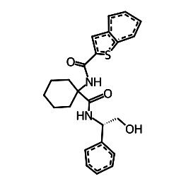 O=C(NC1(C(=O)N[C@H](CO)c2ccccc2)CCCCC1)c1cc2ccccc2s1